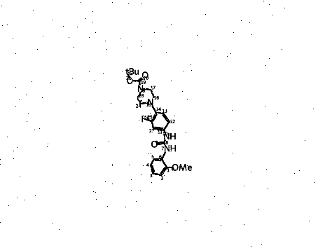 COc1ccccc1NC(=O)Nc1ccc(N2CCN(C(=O)OC(C)(C)C)CC2)c(F)c1